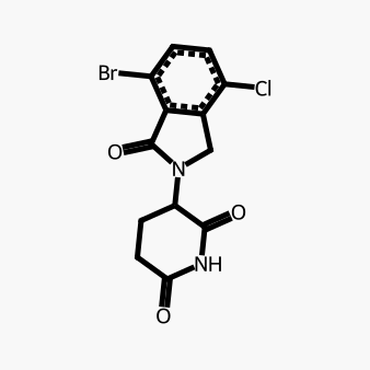 O=C1CCC(N2Cc3c(Cl)ccc(Br)c3C2=O)C(=O)N1